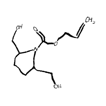 C=CCOC(=O)N1C(CO)CCC1CO